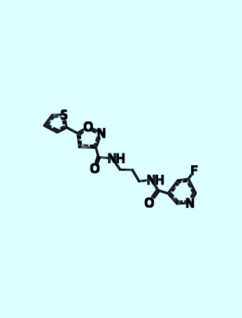 O=C(NCCCNC(=O)c1cc(-c2cccs2)on1)c1cncc(F)c1